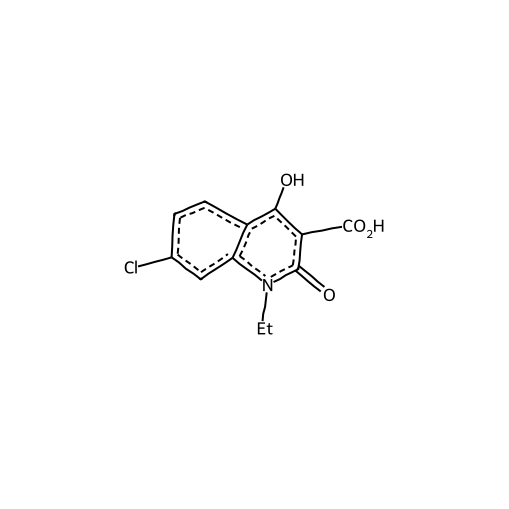 CCn1c(=O)c(C(=O)O)c(O)c2ccc(Cl)cc21